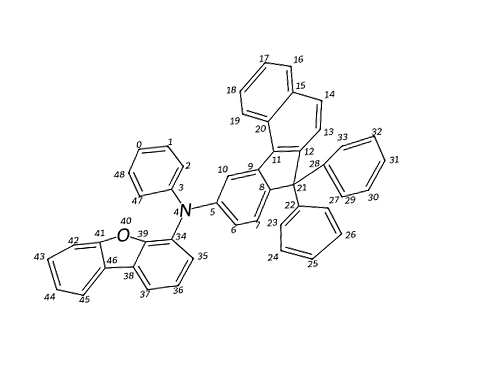 c1ccc(N(c2ccc3c(c2)-c2c(ccc4ccccc24)C3(c2ccccc2)c2ccccc2)c2cccc3c2oc2ccccc23)cc1